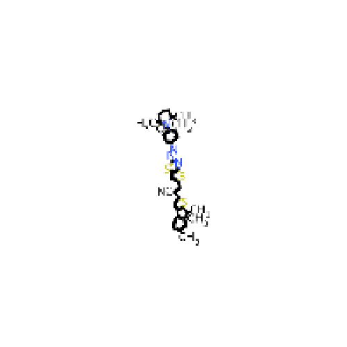 Cc1ccc2c(c1)C(C)(C)c1sc(/C(C#N)=C/c3cc4sc(/N=N/c5ccc(N6C(C)(C)CCCC6(C)C)cc5)nc4s3)cc1-2